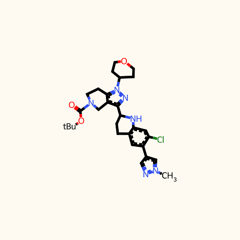 Cn1cc(-c2cc3c(cc2Cl)NC(c2nn(C4CCOCC4)c4c2CN(C(=O)OC(C)(C)C)CC4)CC3)cn1